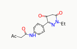 CCN1N=C(c2ccc(NC(=O)CC(C)=O)cc2)C(=O)CC1=O